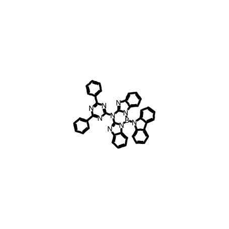 c1ccc(-c2nc(-c3ccccc3)nc(N3c4nc5ccccc5n4B(n4c5ccccc5c5ccccc54)n4c3nc3ccccc34)n2)cc1